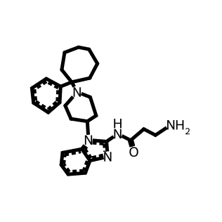 NCCC(=O)Nc1nc2ccccc2n1C1CCN(C2(c3ccccc3)CCCCCC2)CC1